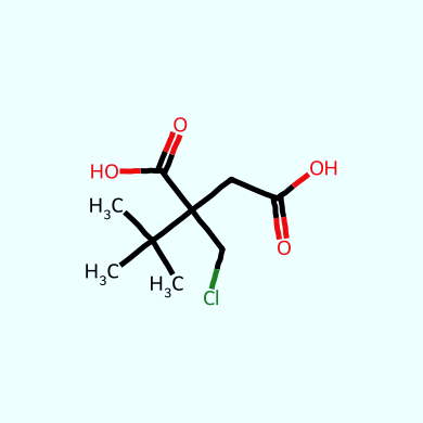 CC(C)(C)C(CCl)(CC(=O)O)C(=O)O